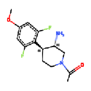 COc1cc(F)c([C@@H]2CCN(C(C)=O)C[C@H]2N)c(F)c1